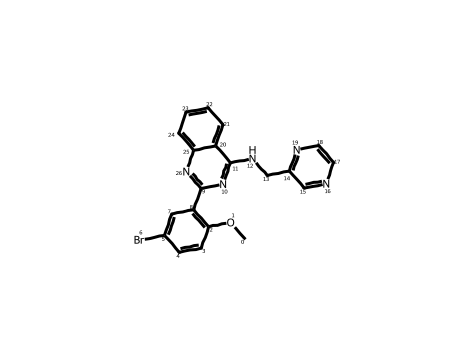 COc1ccc(Br)cc1-c1nc(NCc2cnccn2)c2ccccc2n1